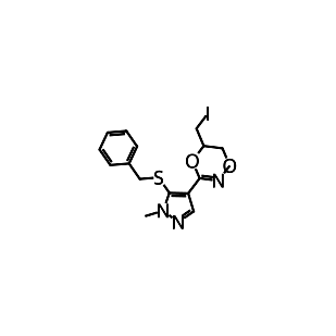 Cn1ncc(C2=NOCC(CI)O2)c1SCc1ccccc1